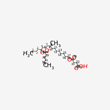 CCCCCCC(CC(C)CCCCCCCCOC(=O)CCC(=O)O)OC(=O)CCCCC